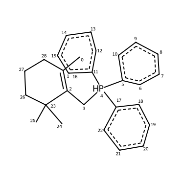 CC1=C(C[PH](c2ccccc2)(c2ccccc2)c2ccccc2)C(C)(C)CCC1